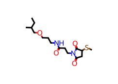 CCC(C)COCCCNC(=O)CCN1C(=O)CC(SC)C1=O